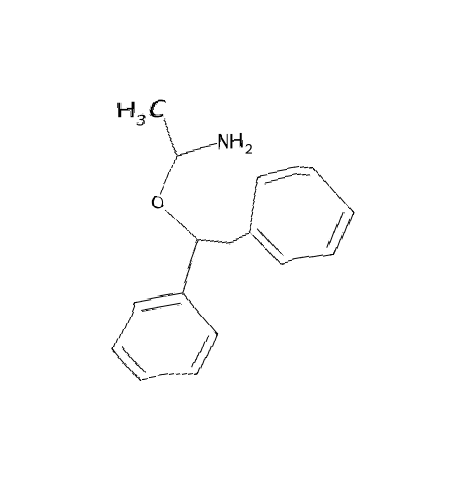 CC(N)OC(c1ccccc1)c1ccccc1